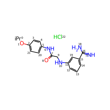 CC(C)Oc1ccc(NC(=O)CNc2cccc(C(=N)N)c2)cc1.Cl